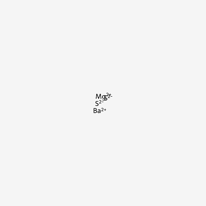 [Ba+2].[Mg+2].[S-2].[S-2]